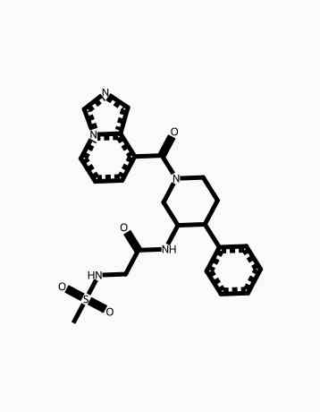 CS(=O)(=O)NCC(=O)NC1CN(C(=O)c2cccn3cncc23)CCC1c1ccccc1